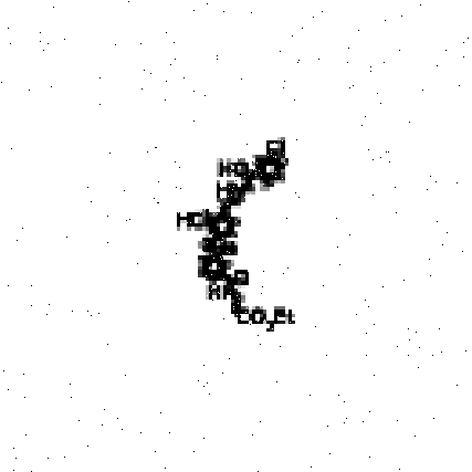 CCOC(=O)CCNC(=O)c1cccc(S(=O)(=O)c2ccc(CCNC[C@@H](O)c3cccc(Cl)c3)cc2)c1.Cl